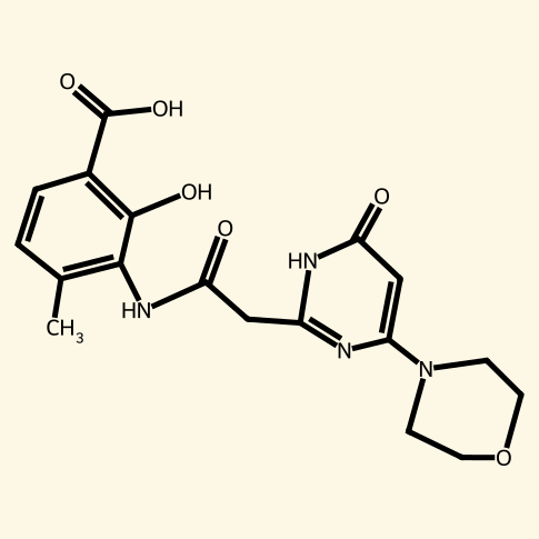 Cc1ccc(C(=O)O)c(O)c1NC(=O)Cc1nc(N2CCOCC2)cc(=O)[nH]1